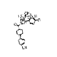 CN(C(=O)O)[C@@]1(C)CN(C(=O)C2CCN(c3ccc(C#N)cc3)CC2)C[C@@H]1c1ccc(Cl)cc1